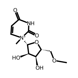 COC[C@H]1O[C@@H]([N+]2(C)C=CC(=O)NC2=O)[C@H](O)[C@@H]1O